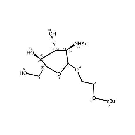 CCCCOCCOC1O[C@H](CO)[C@@H](O)[C@H](O)[C@H]1NC(C)=O